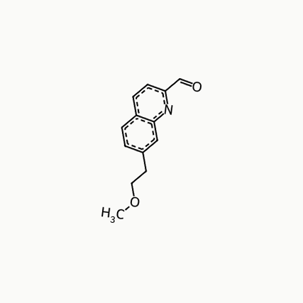 COCCc1ccc2ccc(C=O)nc2c1